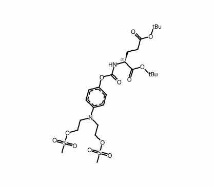 CC(C)(C)OC(=O)CC[C@H](NC(=O)Oc1ccc(N(CCOS(C)(=O)=O)CCOS(C)(=O)=O)cc1)C(=O)OC(C)(C)C